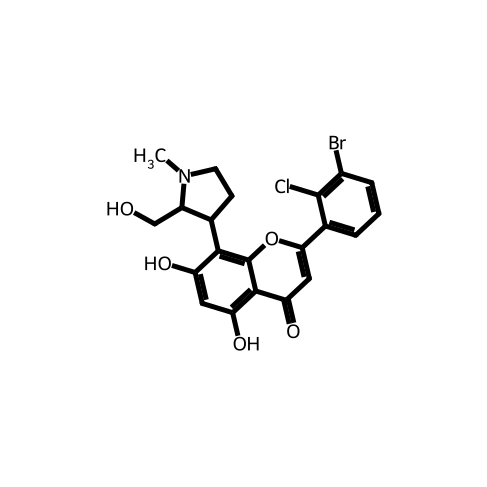 CN1CCC(c2c(O)cc(O)c3c(=O)cc(-c4cccc(Br)c4Cl)oc23)C1CO